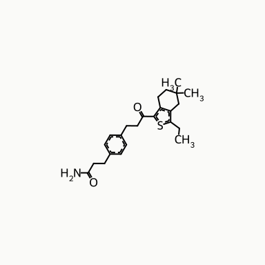 CCc1sc(C(=O)CCc2ccc(CCC(N)=O)cc2)c2c1CC(C)(C)CC2